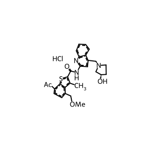 COCc1ccc(C(C)=O)c2sc(C(=O)Nc3cc(CN4CC[C@@H](O)C4)c4ccccc4n3)c(C)c12.Cl